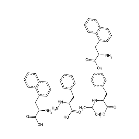 CC(C)N[C@@H](Cc1ccccc1)C(=O)O.NN[C@@H](Cc1ccccc1)C(=O)O.N[C@@H](Cc1cccc2ccccc12)C(=O)O.N[C@H](Cc1cccc2ccccc12)C(=O)O